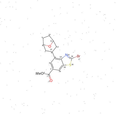 COC(=O)c1cc(C2CC3CCC(C2)O3)c2nc(Br)sc2c1